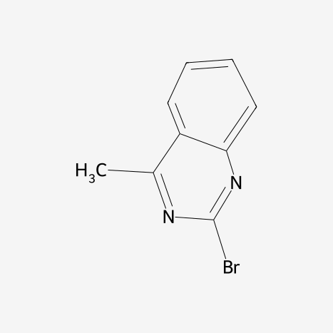 Cc1nc(Br)nc2ccccc12